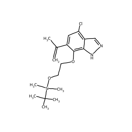 C=C(C)c1cc(Cl)c2cn[nH]c2c1OCCO[Si](C)(C)C(C)(C)C